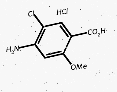 COc1cc(N)c(Cl)cc1C(=O)O.Cl